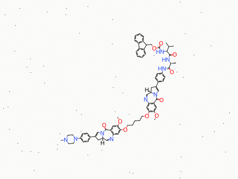 COc1cc2c(cc1OCCCCCOc1cc3c(cc1OC)C(=O)N1C=C(c4ccc(N5CCN(C)CC5)cc4)C[C@H]1C=N3)N=C[C@@H]1CC(c3ccc(NC(=O)[C@H](C)NC(=O)[C@@H](NC(=O)OCC4c5ccccc5-c5ccccc54)C(C)C)cc3)=CN1C2=O